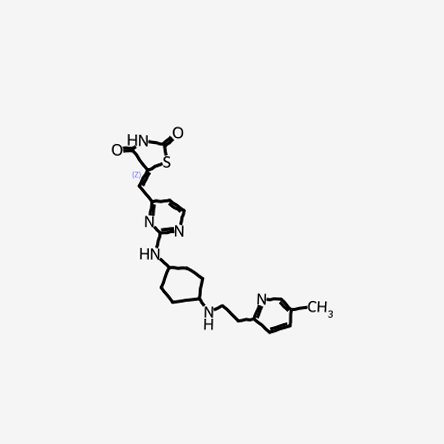 Cc1ccc(CCNC2CCC(Nc3nccc(/C=C4\SC(=O)NC4=O)n3)CC2)nc1